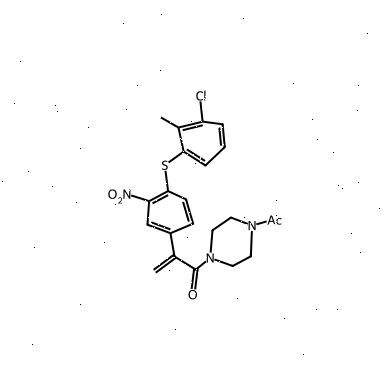 C=C(C(=O)N1CCN(C(C)=O)CC1)c1ccc(Sc2cccc(Cl)c2C)c([N+](=O)[O-])c1